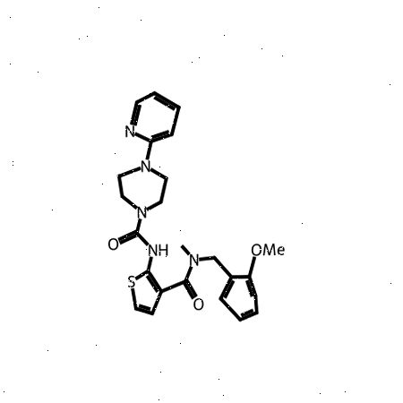 COc1ccccc1CN(C)C(=O)c1ccsc1NC(=O)N1CCN(c2ccccn2)CC1